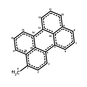 [CH2]c1ccc2c3cccc4cccc(c5cccc1c52)c43